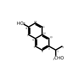 CC(C=O)c1ccc2cc(O)ccc2c1